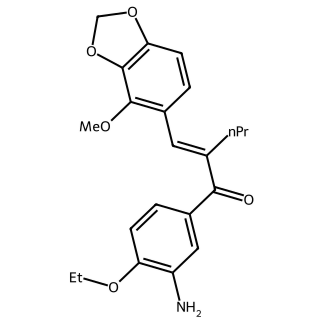 CCC/C(=C\c1ccc2c(c1OC)OCO2)C(=O)c1ccc(OCC)c(N)c1